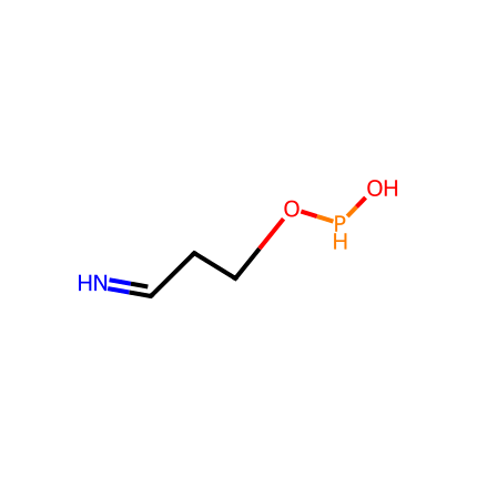 N=CCCOPO